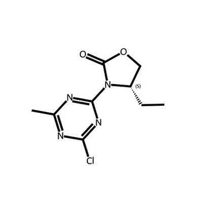 CC[C@H]1COC(=O)N1c1nc(C)nc(Cl)n1